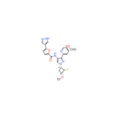 CCO[C@@H]1C[C@H](n2cc(NC(=O)c3ccc(-c4cn[nH]c4)o3)c(-c3ccccn3)n2)C1F.O=CO